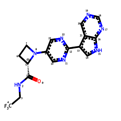 O=C(NCC(F)(F)F)[C@@H]1CCN1c1cnc(-c2c[nH]c3ncncc23)nc1